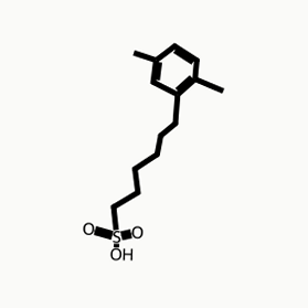 Cc1ccc(C)c(CCCCCCS(=O)(=O)O)c1